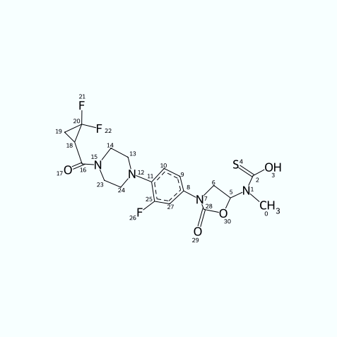 CN(C(O)=S)C1CN(c2ccc(N3CCN(C(=O)C4CC4(F)F)CC3)c(F)c2)C(=O)O1